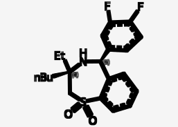 CCCC[C@]1(CC)CS(=O)(=O)c2ccccc2[C@H](c2ccc(F)c(F)c2)N1